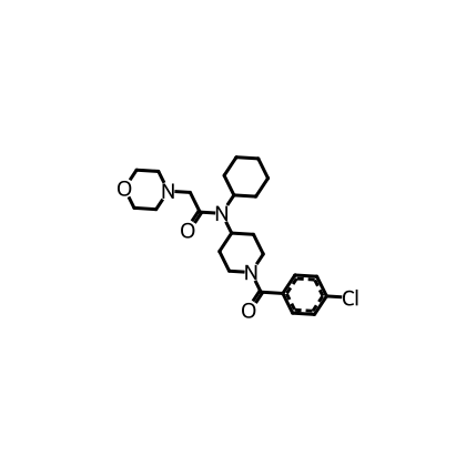 O=C(c1ccc(Cl)cc1)N1CCC(N(C(=O)CN2CCOCC2)C2CCCCC2)CC1